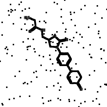 CCC(=O)NCC1CN(c2ccc(N3C=CC(=O)CC3)cc2)C(=O)O1